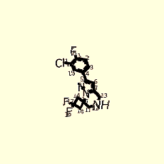 Fc1ccc(-c2cc3n(n2)C2(CNC3)CC(F)(F)C2)cc1Cl